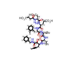 CC#CCC(NC(=O)[C@H](CC(C)C)NC(=O)[C@@H](NC(=O)[C@H](Cc1ccccc1C)NC(=O)[C@H](CCC(=O)O)NC(=O)[C@H](CC(=O)O)NC(=O)CCC(=O)O)C(C)(C)C)C(=O)C(=O)NCc1ccccc1